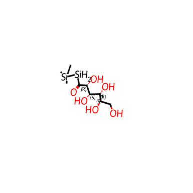 C[Si](C)(C)[SiH2]C(=O)[C@H](O)[C@@H](O)[C@H](O)[C@H](O)CO